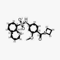 COc1cc(NS(=O)(=O)c2cccc3cccnc23)ccc1C(=O)N1C[CH]C1